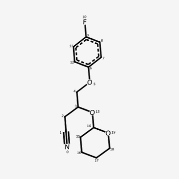 N#CCC(COc1ccc(F)cc1)OC1CCCCO1